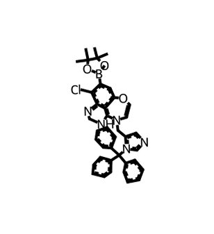 CC1(C)OB(c2cc3c4c(c2Cl)=NCNC=4N(Cc2cncn2C(c2ccccc2)(c2ccccc2)c2ccccc2)C=CO3)OC1(C)C